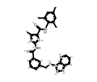 Cc1cc(C)c(NC(=O)c2sc(NC(=O)c3cccc(COn4nnc5cccnc54)c3)nc2C)c(C)c1